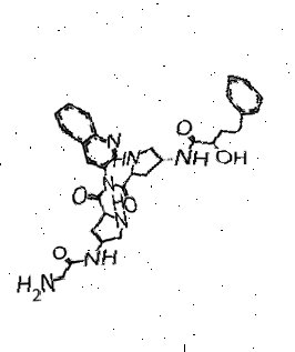 NCC(=O)NC1CN[C@H](C(=O)N(C(=O)[C@@H]2C[C@@H](NC(=O)[C@H](O)CCc3ccccc3)CN2)c2cnc3ccccc3c2)C1